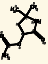 CC1(C)CC(OC(N)=O)C(=O)N1